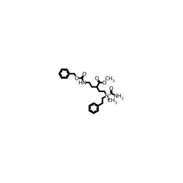 COC(=O)C(CCNC(=O)OCc1ccccc1)CC[N@@+](C)(CCc1ccccc1)C(N)=O